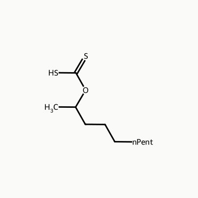 CCCCCCCCC(C)OC(=S)S